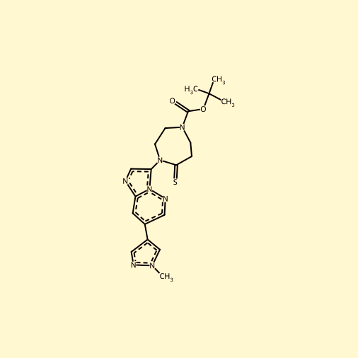 Cn1cc(-c2cnn3c(N4CCN(C(=O)OC(C)(C)C)CCC4=S)cnc3c2)cn1